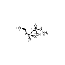 C=CCP(=O)(O)OP(=O)(O)ON